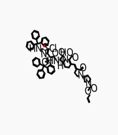 C=CCOC(=O)N1CC[C@@H](N2CCC(=CC3=C(C(=O)O)N4C(=O)[C@@H](NC(=O)C(=NOC(c5ccccc5)(c5ccccc5)c5ccccc5)c5nc(NC(c6ccccc6)(c6ccccc6)c6ccccc6)sc5Cl)[C@H]4CC3)C2=O)C1